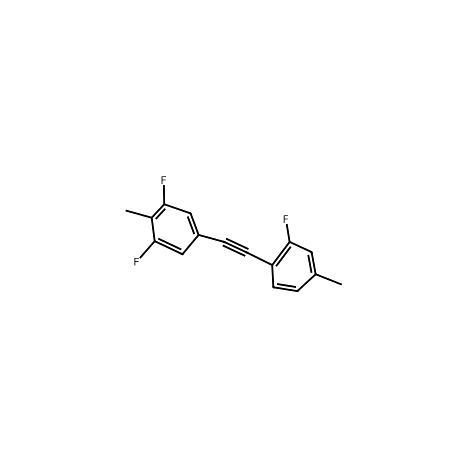 Cc1ccc(C#Cc2cc(F)c(C)c(F)c2)c(F)c1